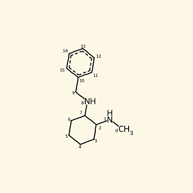 CNC1CCCCC1NCc1ccccc1